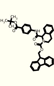 CC(C)(C)OC(=O)c1ccc(NC(=O)C2c3ccccc3CCN2C(=O)OCC2c3ccccc3-c3ccccc32)cc1